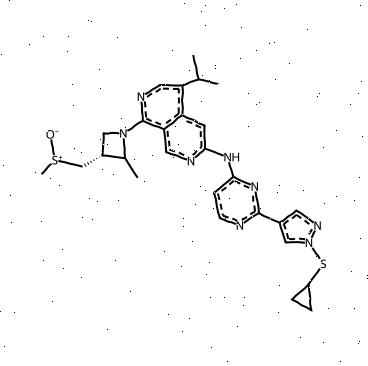 CC(C)c1cnc(N2C[C@@H](C[S+](C)[O-])C2C)c2cnc(Nc3ccnc(-c4cnn(SC5CC5)c4)n3)cc12